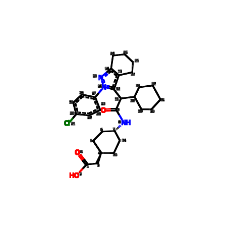 O=C(O)C[C@H]1CC[C@H](NC(=O)C(c2c3c(nn2-c2ccc(Cl)cc2)CCCC3)C2CCCCC2)CC1